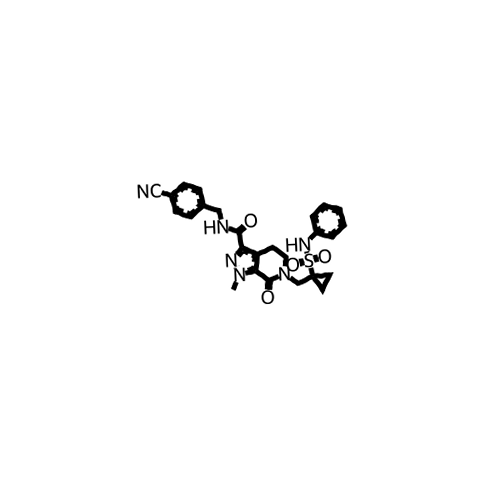 Cn1nc(C(=O)NCc2ccc(C#N)cc2)c2c1C(=O)N(CC1(S(=O)(=O)Nc3ccccc3)CC1)CC2